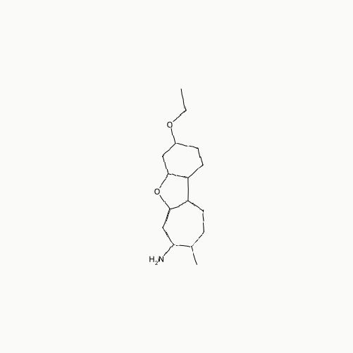 CCOC1CCC2C(C1)OC1CC(N)C(C)CCC12